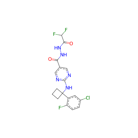 O=C(NNC(=O)C(F)F)c1cnc(NC2(c3cc(Cl)ccc3F)CCC2)nc1